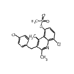 Cc1nc2c(Cl)ccc(OS(=O)(=O)C(F)(F)F)c2c(C)c1Cc1ccc(Cl)cc1